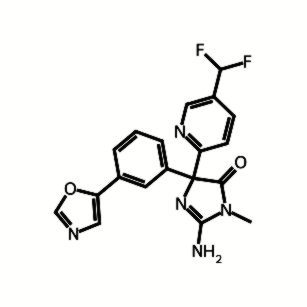 CN1C(=O)C(c2cccc(-c3cnco3)c2)(c2ccc(C(F)F)cn2)N=C1N